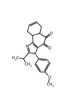 COc1ccc(-n2c(C(C)C)nc3c2C(=O)C(=O)C2CC=CCC32)cc1